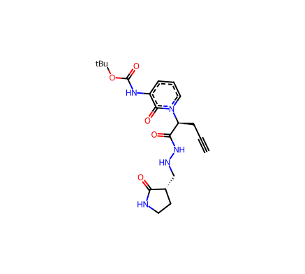 C#CC[C@@H](C(=O)NNC[C@@H]1CCNC1=O)n1cccc(NC(=O)OC(C)(C)C)c1=O